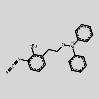 CC(C)(C)c1c(CCO[SiH](c2ccccc2)c2ccccc2)cccc1N=C=S